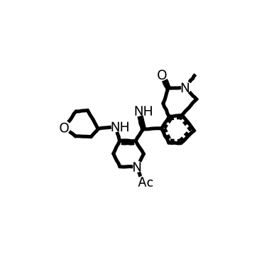 CC(=O)N1CCC(NC2CCOCC2)=C(C(=N)c2cccc3c2CC(=O)N(C)C3)C1